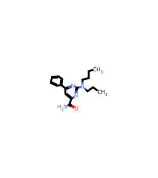 CCCCN(CCC)c1nc(C(N)=O)cc(-c2ccccc2)n1